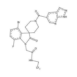 O=C(CN1C(=O)C2(CCN(C(=O)c3cnc4[nH]ncc4c3)CC2)c2c(Br)ccc(F)c21)NCC(F)(F)F